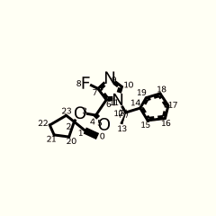 C#CC1(OC(=O)c2c(F)ncn2[C@H](C)c2ccccc2)CCCC1